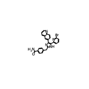 NC(=O)c1ccc(Cc2nc(-c3ccc4ncccc4c3)c(-c3cccc(Br)n3)[nH]2)cc1